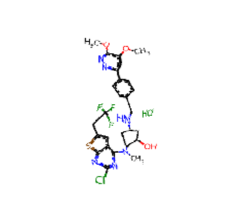 COc1cc(-c2ccc(CN[C@H]3C[C@@H](O)[C@@H](N(C)c4nc(Cl)nc5sc(CC(F)(F)F)cc45)C3)cc2)nnc1OC.Cl